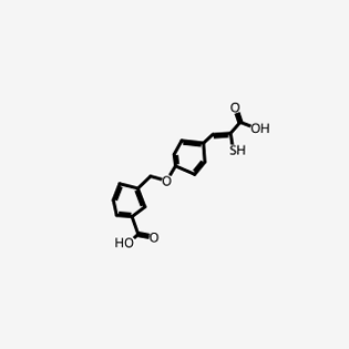 O=C(O)C(S)=Cc1ccc(OCc2cccc(C(=O)O)c2)cc1